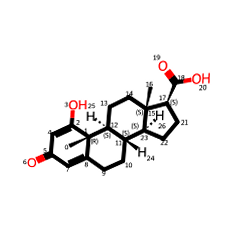 C[C@]12C(O)=CC(=O)C=C1CC[C@@H]1[C@@H]2CC[C@]2(C)[C@@H](C(=O)O)CC[C@@H]12